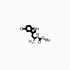 C[C@@H](Cc1c[nH]c2ccc(Cl)cc12)NC(=O)OC(C)(C)C